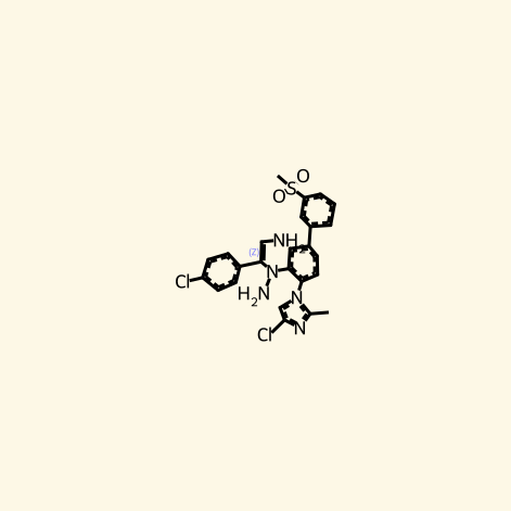 Cc1nc(Cl)cn1-c1ccc(-c2cccc(S(C)(=O)=O)c2)cc1N(N)/C(=C\N)c1ccc(Cl)cc1